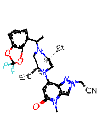 CC[C@H]1CN(C(C)c2cccc3c2OC(F)(F)O3)[C@H](CC)CN1c1cc(=O)n(C)c2cn(CC#N)nc12